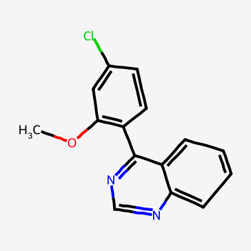 COc1cc(Cl)ccc1-c1ncnc2ccccc12